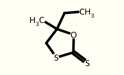 CCC1(C)CSC(=S)O1